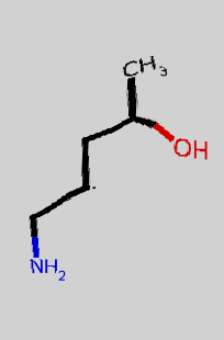 CC(O)C[CH]CN